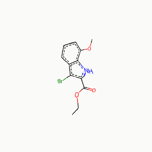 CCOC(=O)c1[nH]c2c(OC)cccc2c1Br